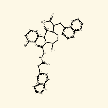 CC1CCN(C(Cc2cccc3ccccc23)C(N)=O)C(=O)C(c2cccc(Cl)c2)N1C(=O)CNC(=O)Cc1ccc2ncccc2c1